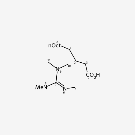 CCCCCCCCCCCC(=O)O.CN=C(NC)N(C)C